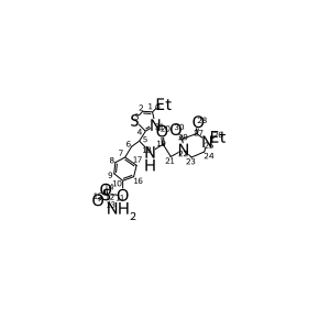 CCc1csc(C(Cc2ccc(OS(N)(=O)=O)cc2)NC(=O)CN2CCN(CC)C(=O)C2=O)n1